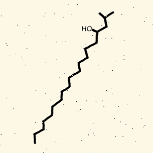 CCCCCCCCCCCCCCCC(O)CC(C)C